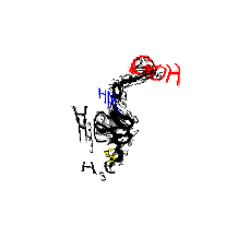 Cc1ccc(-c2ccc3c(c2)C(C)(C)c2cc(Nc4ccc(CCC(=O)O)cc4)ccc2-3)s1